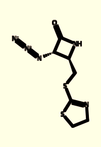 [N-]=[N+]=N[C@@H]1C(=O)N[C@H]1CSC1=NCCS1